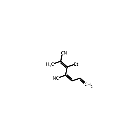 C=C/C=C(C#N)\C(CC)=C(/C)C#N